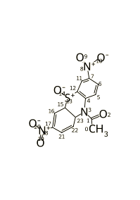 CC(=O)N1c2ccc([N+](=O)[O-])cc2[S+]([O-])C2C=C([N+](=O)[O-])C=CC21